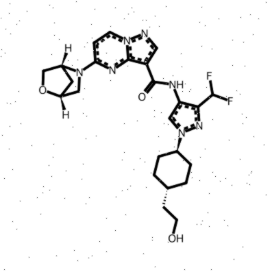 O=C(Nc1cn([C@H]2CC[C@H](CCO)CC2)nc1C(F)F)c1cnn2ccc(N3C[C@H]4C[C@@H]3CO4)nc12